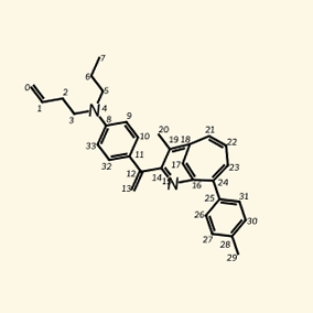 C=CCCN(CCC)c1ccc(C(=C)c2nc3cc(c2C)C=CC=C3c2ccc(C)cc2)cc1